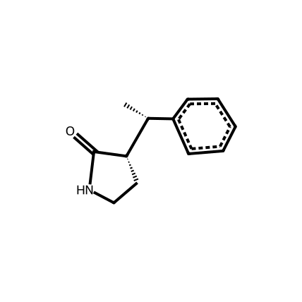 C[C@H](c1ccccc1)[C@@H]1CCNC1=O